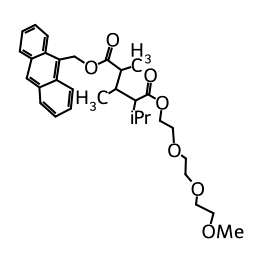 COCCOCCOCCOC(=O)C(C(C)C)C(C)C(C)C(=O)OCc1c2ccccc2cc2ccccc12